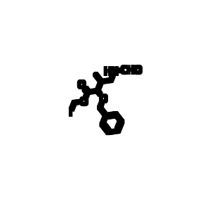 CC(CNC=O)C(OCc1ccccc1)C(=O)OCI